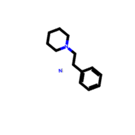 [N].c1ccc(CCN2CCCCC2)cc1